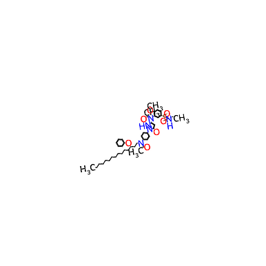 CCCCCCCCCCCCC(CCN(C(C)=O)c1ccc(-n2[nH]c(N(C(C)=O)c3cc(S(=O)(=O)NCC)ccc3OC)cc2=O)cc1)Oc1ccccc1